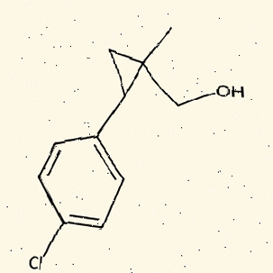 CC1(CO)CC1c1ccc(Cl)cc1